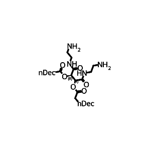 CCCCCCCCCCCC(=O)O[C@@H](C(=O)NCCN)[C@@H](OC(=O)CCCCCCCCCC)C(=O)NCCN